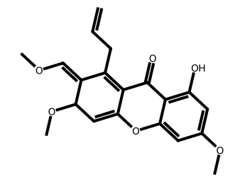 C=CCC1=c2c(oc3cc(OC)cc(O)c3c2=O)=CC(OC)C1=COC